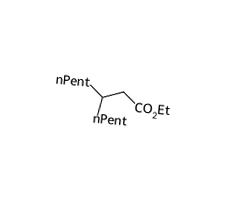 CCCCCC(CCCCC)CC(=O)OCC